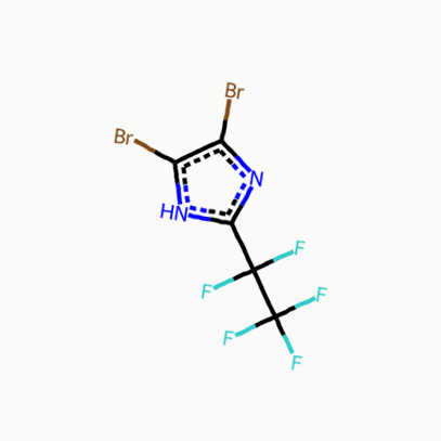 FC(F)(F)C(F)(F)c1nc(Br)c(Br)[nH]1